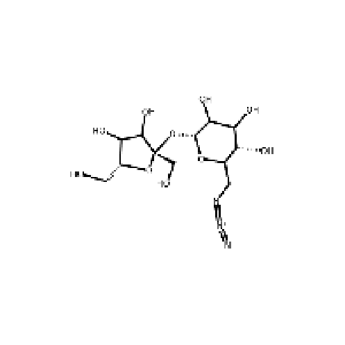 [N-]=[N+]=NCC1O[C@H](O[C@]2(CO)O[C@H](CO)C(O)C2O)C(O)C(O)[C@@H]1O